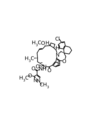 COc1nn(C)cc1C(=O)N[S@@]1(=O)=NC(=O)c2ccc3c(c2F)N(C[C@@H]2CC[C@H]2[C@@H](OC)/C=C/C[C@H](C)C1)C[C@@]1(CCCc2cc(Cl)ccc21)CO3